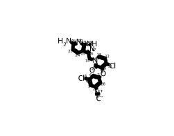 [C-]#[N+]c1cc(Cl)cc(Oc2c(Cl)ccn(Cc3n[nH]c4nc(N)ccc34)c2=O)c1